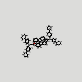 c1ccc2c(c1)-c1ccccc1C21c2c(ccc3cc(N(c4ccc(C5CCCCC5)cc4)c4ccc(C5CCCCC5)cc4)ccc23)-c2ccc3cc(N(c4ccc(C5CCCCC5)cc4)c4ccc(C5CCCCC5)cc4)ccc3c21